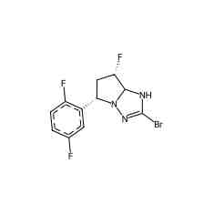 Fc1ccc(F)c([C@@H]2C[C@H](F)C3NC(Br)=NN32)c1